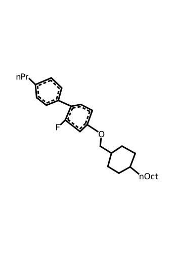 CCCCCCCCC1CCC(COc2ccc(-c3ccc(CCC)cc3)c(F)c2)CC1